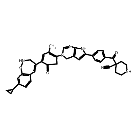 CC1=C(N2C=Nc3[nH]c(-c4ccc(C(=O)C5(C#N)CCNCC5)cc4)cc3C2)CC(=O)C(C2=Cc3ccc(C4CC4)cc3ONC2)=C1